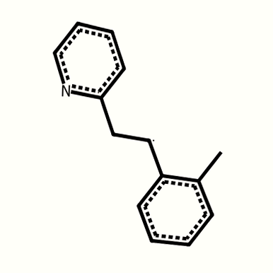 Cc1ccccc1[CH]Cc1ccccn1